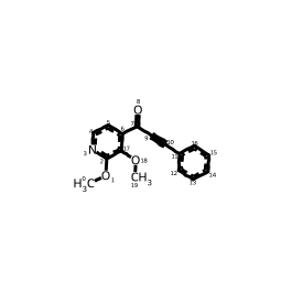 COc1nccc(C(=O)C#Cc2ccccc2)c1OC